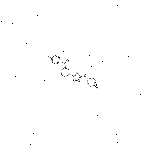 O=C(c1ccc(F)cc1)N1CCCC(c2nc(Oc3ccc(F)cc3)no2)C1